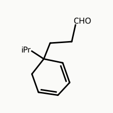 CC(C)C1(CCC=O)C=CC=CC1